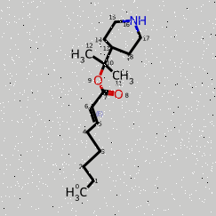 CCCCC/C=C/C(=O)OC(C)(C)C1CCNCC1